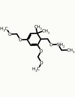 CC[SiH2]OCC1C(OCOC)=CC(OCOC)=CC1(C)C